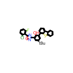 CC(C)(C)c1cc(-c2noc(-c3c(F)cccc3Cl)n2)c(O)c(-c2cccc3c2sc2ccccc23)c1